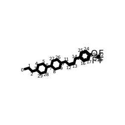 CCCC1CCC(C2CCC(C/C=C\Cc3ccc(OC(F)(F)F)cc3)CC2)CC1